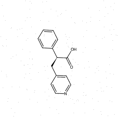 O=C(O)[C@@H](Cc1ccncc1)c1ccccc1